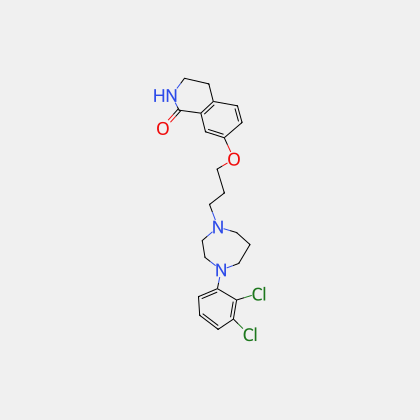 O=C1NCCc2ccc(OCCCN3CCCN(c4cccc(Cl)c4Cl)CC3)cc21